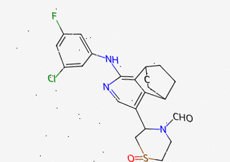 O=CN1CCS(=O)(=O)CC1c1cnc(Nc2cc(F)cc(Cl)c2)c2c1C1CCC2CC1